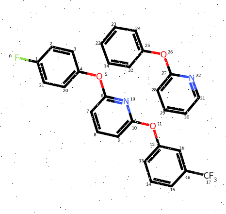 Fc1ccc(Oc2cccc(Oc3cccc(C(F)(F)F)c3)n2)cc1.c1ccc(Oc2ccccn2)cc1